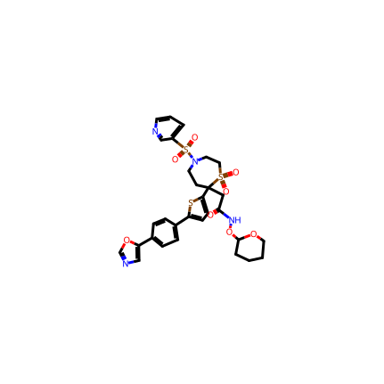 O=C(CC1(c2ccc(-c3ccc(-c4cnco4)cc3)s2)CCN(S(=O)(=O)c2cccnc2)CCS1(=O)=O)NOC1CCCCO1